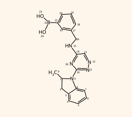 CC1Cc2ccccc2N1c1nncc(NCc2cccc(B(O)O)c2)n1